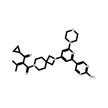 CC(C)=C(C(=O)C1CC1)C(=O)N1CCC2(CC1)CN(c1cc(-c3cnc(N)nc3)nc(N3CCOCC3)c1)C2